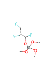 CO[Si](OC)(OC)OC(F)C(F)CF